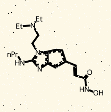 CCCNc1nc2cc(C=CC(=O)NO)ccc2n1CCN(CC)CC